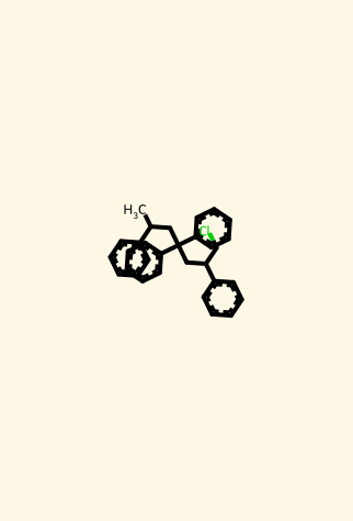 CC(CC(CC(CCl)c1ccccc1)(c1ccccc1)c1ccccc1)c1ccccc1